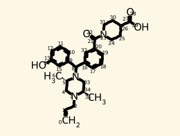 C=CCN1C[C@H](C)N(C(c2cccc(O)c2)c2cccc(C(=O)N3CCC(C(=O)O)CC3)c2)C[C@H]1C